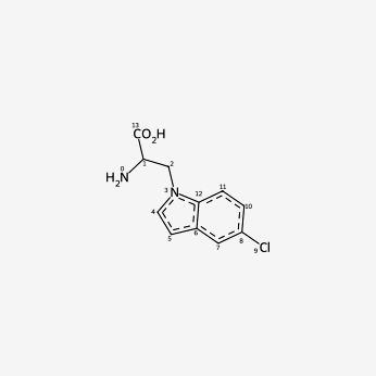 NC(Cn1ccc2cc(Cl)ccc21)C(=O)O